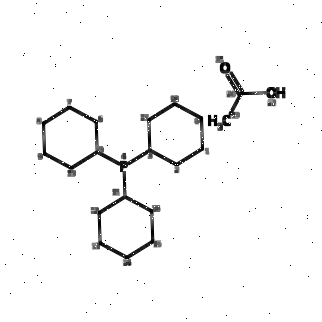 C1CCC(P(C2CCCCC2)C2CCCCC2)CC1.CC(=O)O